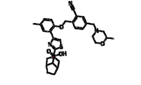 Cc1ccc(OCc2ccc(CN3CCOC(C)C3)cc2C#N)c(-c2csc(N3CC4CCC(C3)C4C(=O)O)n2)c1